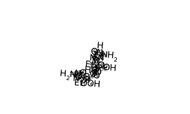 CCOC1[C@@H](O)[C@@H](COP(=O)(O)OC2C(OCC)[C@H](n3cnc4c(=O)[nH]c(N)nc43)O[C@@H]2CO)O[C@H]1n1cnc(N)nc1=O